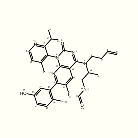 C=CCCN(c1nc(=O)n(-c2c(C)ccnc2C(C)C)c2nc(-c3cc(O)ccc3F)c(F)cc12)C(C)CNC=O